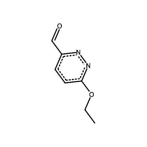 CCOc1ccc(C=O)nn1